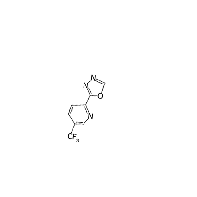 FC(F)(F)c1ccc(-c2nnco2)nc1